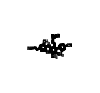 Cc1cc(CCC#N)cc(C)c1Oc1cc(N)c(N)c(-c2ccc(C#N)cc2)c1COC1CC1=O